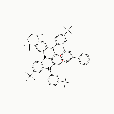 Cc1cc2c3c(c1)N(c1ccc(C(C)(C)C)cc1-c1cccc(-c4ccccc4)c1)c1cc4c(cc1B3c1ccc(C(C)(C)C)cc1N2c1cccc(C(C)(C)C)c1)C(C)(C)CCC4(C)C